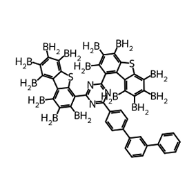 Bc1c(B)c(B)c2c(sc3c(-c4nc(-c5ccc(-c6cccc(-c7ccccc7)c6)cc5)nc(-c5c(B)c(B)c(B)c6sc7c(B)c(B)c(B)c(B)c7c56)n4)c(B)c(B)c(B)c32)c1B